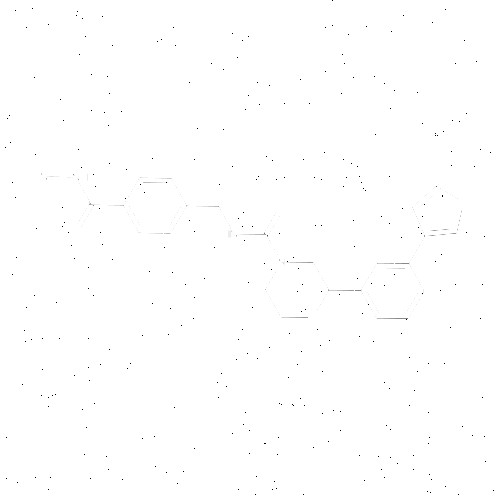 NNC(=O)c1ccc(CNC(=O)N2CCSC(c3cccc(-c4ccoc4)c3)C2)cc1